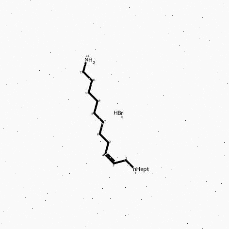 Br.CCCCCCCC/C=C\CCCCCCCCN